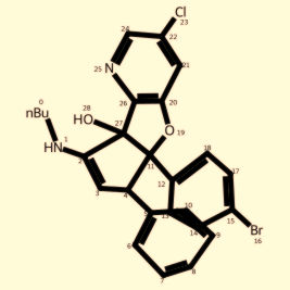 CCCCNC1=CC(c2ccccc2)C2(c3ccc(Br)cc3)Oc3cc(Cl)cnc3C12O